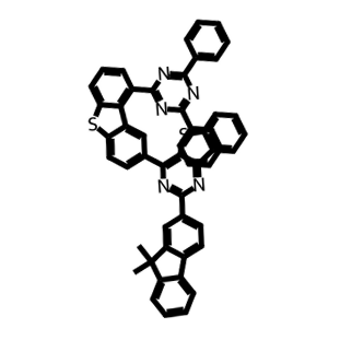 CC1(C)c2ccccc2-c2ccc(-c3nc(-c4ccc5sc6cccc(-c7nc(-c8ccccc8)nc(-c8ccccc8)n7)c6c5c4)c4sc5ccccc5c4n3)cc21